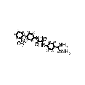 CS(=O)(=O)c1ccccc1-c1ccc(NC(=O)C(=O)Nc2ccc(C(N)CN)cc2)cc1